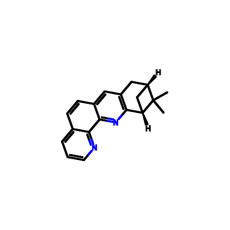 CC1(C)[C@H]2Cc3cc4ccc5cccnc5c4nc3[C@@H]1C2